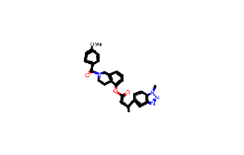 COc1ccc(C(=O)N2CCc3c(cccc3OC(=O)CC(C)c3ccc4c(c3)nnn4C)C2)cc1